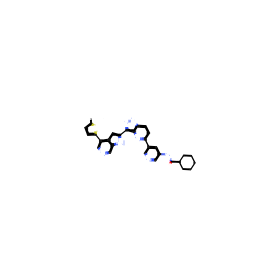 Cc1ccc(-c2cncc3[nH]c(-c4n[nH]c5ccc(-c6cncc(NC(=O)C7CCCCC7)c6)nc45)cc23)s1